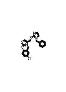 Clc1ccc2c(c1)CN1C(CSC3=NCCN3Cc3ccccc3)=CSC1=N2